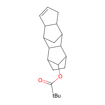 CC(C)(C)C(=O)OC1C2CCC1C1C3CC(C4C=CCC43)C21